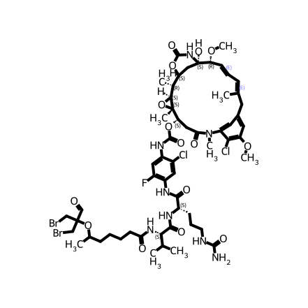 COc1cc2cc(c1Cl)N(C)C(=O)C[C@H](OC(=O)Nc1cc(F)c(NC(=O)[C@H](CCCNC(N)=O)NC(=O)[C@@H](NC(=O)CCCCC(C)OC(C=O)(CBr)CBr)C(C)C)cc1Cl)[C@]1(C)O[C@H]1[C@H](C)[C@@H]1C[C@@](O)(NC(=O)O1)[C@H](OC)/C=C/C=C(\C)C2